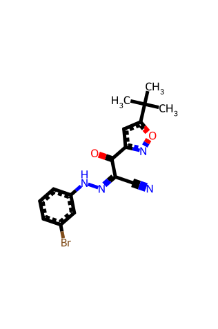 CC(C)(C)c1cc(C(=O)C(C#N)=NNc2cccc(Br)c2)no1